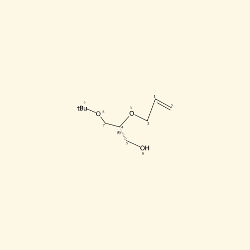 C=CCO[C@H](CO)COC(C)(C)C